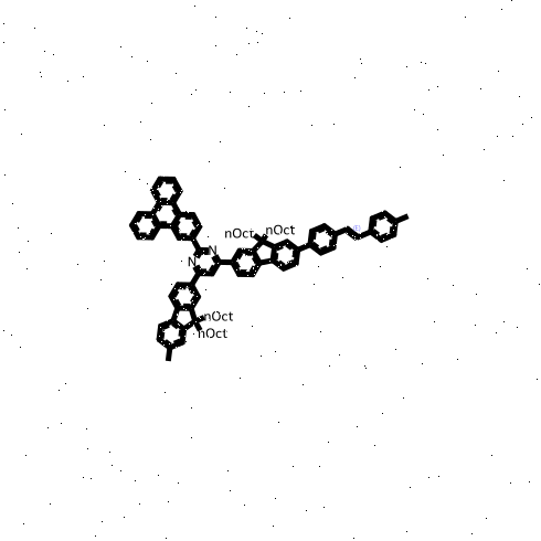 CCCCCCCCC1(CCCCCCCC)c2cc(C)ccc2-c2ccc(-c3cc(-c4ccc5c(c4)C(CCCCCCCC)(CCCCCCCC)c4cc(-c6ccc(/C=C/c7ccc(C)cc7)cc6)ccc4-5)nc(-c4ccc5c6ccccc6c6ccccc6c5c4)n3)cc21